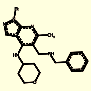 CCn1ncc2c(NC3CCOCC3)c(CNCc3ccccc3)c(C)nc21